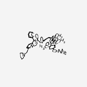 COc1cc(C)c(S(=O)(=O)N(C)CCOCC(=O)N2CCn3c(CN4CCCCC4)ccc3C2c2ccccc2)c(C)c1